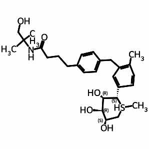 Cc1ccc([C@H]2[C@H](O)[C@H](O)[C@H](O)C[SH]2C)cc1Cc1ccc(CCCC(=O)NC(C)(C)CO)cc1